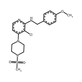 COc1ccc(CNc2nccc(N3CCN(S(C)(=O)=O)CC3)c2Cl)cc1